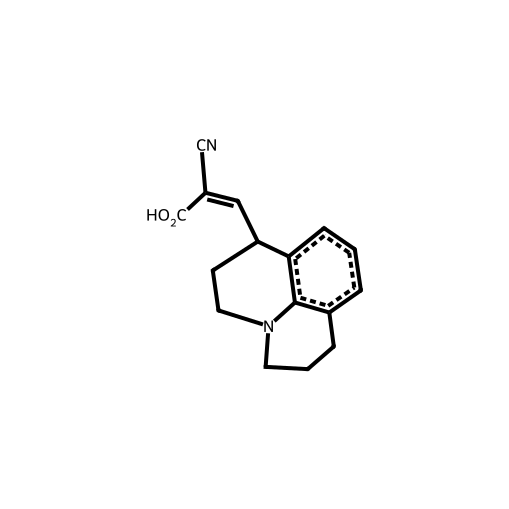 N#CC(=CC1CCN2CCCc3cccc1c32)C(=O)O